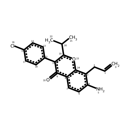 C=CCc1c(N)ccc2c(=O)c(-c3ccc(Cl)cc3)c(C(C)C)oc12